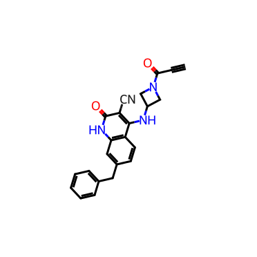 C#CC(=O)N1CC(Nc2c(C#N)c(=O)[nH]c3cc(Cc4ccccc4)ccc23)C1